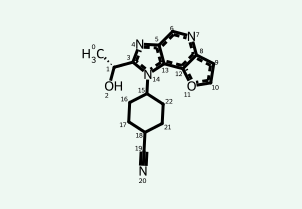 C[C@@H](O)c1nc2cnc3ccoc3c2n1C1CCC(C#N)CC1